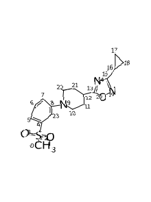 CS(=O)(=O)c1c[c]cc(N2CCC(c3nc(C4CC4)no3)CC2)c1